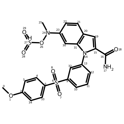 COc1ccc(S(=O)(=O)c2cccc(-n3c(C(N)=O)cc4ccc(N(C)O[SH](=O)=O)cc43)c2)cc1